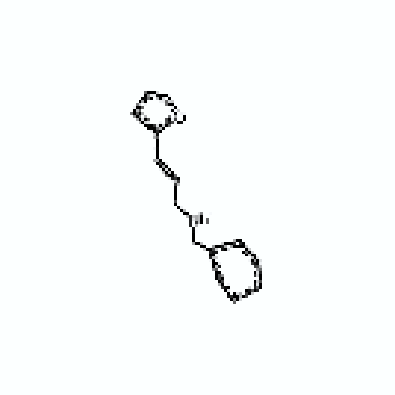 C(=Cc1ccco1)CNCc1ccccc1